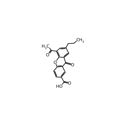 CCCc1cc(C(C)=O)c2oc3ccc(C(=O)O)cc3c(=O)c2c1